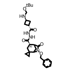 CC(C)(C)OCN[C@H]1C[C@H](C(=O)NNC(=O)[C@@H]2CC3(CC3)C3CC2C(=O)N3OCc2ccccc2)C1